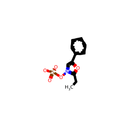 CCc1oc(-c2ccccc2)c[n+]1OS(=O)(=O)[O-]